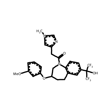 COc1cccc(OC2CCc3cc(C(O)(C(F)(F)F)C(F)(F)F)ccc3N(C(=O)Cc3cn(C)cn3)C2)c1